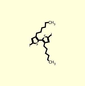 CCCCCCc1cc(I)sc1-c1sc(I)cc1CCCCCC